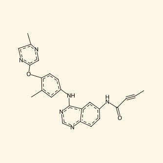 CC#CC(=O)Nc1ccc2ncnc(Nc3ccc(Oc4cnc(C)cn4)c(C)c3)c2c1